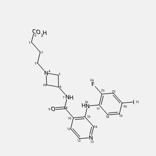 O=C(O)CCCN1CC(NC(=O)c2ccncc2Nc2ccc(I)cc2F)C1